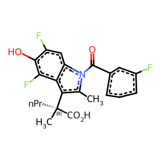 CCC[C@@](C)(C(=O)O)c1c(C)n(C(=O)c2cccc(F)c2)c2cc(F)c(O)c(F)c12